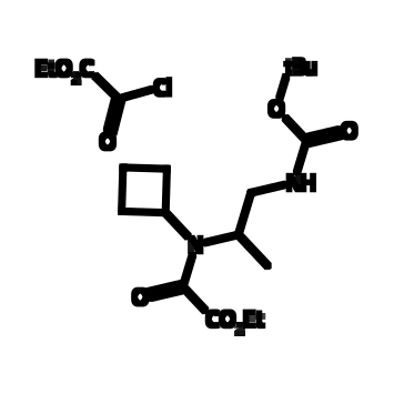 CCOC(=O)C(=O)Cl.CCOC(=O)C(=O)N(C(C)CNC(=O)OC(C)(C)C)C1CCC1